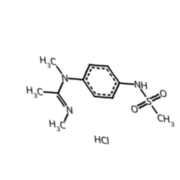 CN=C(C)N(C)c1ccc(NS(C)(=O)=O)cc1.Cl